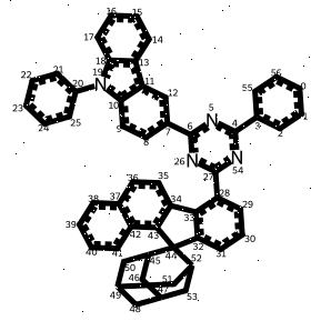 c1ccc(-c2nc(-c3ccc4c(c3)c3ccccc3n4-c3ccccc3)nc(-c3cccc4c3-c3ccc5ccccc5c3C43C4CC5CC(C4)CC3C5)n2)cc1